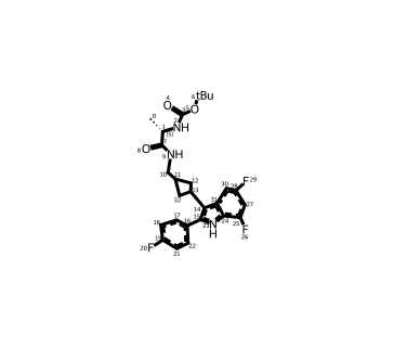 C[C@H](NC(=O)OC(C)(C)C)C(=O)NCC1CC(c2c(-c3ccc(F)cc3)[nH]c3c(F)cc(F)cc23)C1